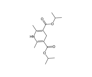 CC1=C(C(=O)OC(C)C)CC(C(=O)OC(C)C)=C(C)N1